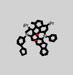 C=c1ccc2c(C(C)C)cc(N(c3ccccc3)c3cccc4c3Cc3ccccc3-4)c3ccc(/C(=C\N(c4ccccc4)c4cccc(C5=CCCC5)c4)C(C)C)c1c23